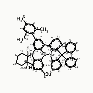 Cc1cc(C)c(-c2cc3c4c(c2)N2c5c(cc(C(C)(C)C)cc5C5(C)CCCCC25C)B4N2c4ccccc4C(c4ccccc4)(c4ccccc4)c4cccc-3c42)c(C)c1